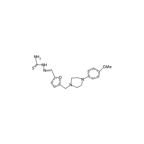 COc1ccc(N2CCN(Cc3ccc(/C=N/NC(N)=S)o3)CC2)cc1